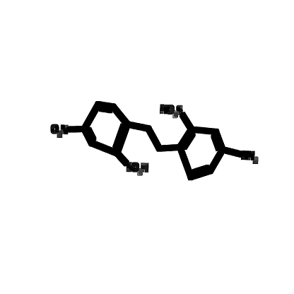 Nc1ccc(CCc2ccc([N+](=O)[O-])cc2S(=O)(=O)O)c(S(=O)(=O)O)c1